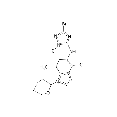 CC1CC(Nc2nc(Br)nn2C)=C(Cl)c2cnn(C3CCCCO3)c21